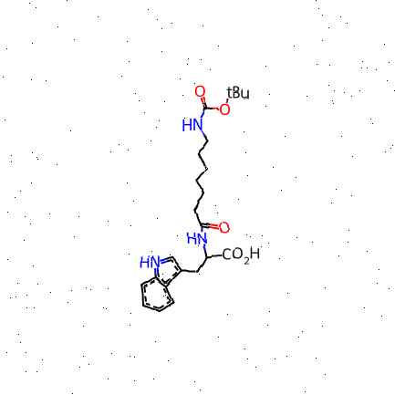 CC(C)(C)OC(=O)NCCCCCCC(=O)NC(Cc1c[nH]c2ccccc12)C(=O)O